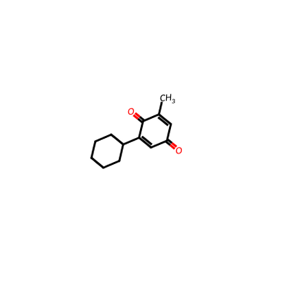 CC1=CC(=O)C=C(C2CCCCC2)C1=O